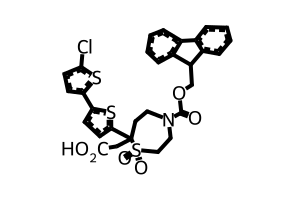 O=C(O)CC1(c2ccc(-c3ccc(Cl)s3)s2)CCN(C(=O)OCC2c3ccccc3-c3ccccc32)CCS1(=O)=O